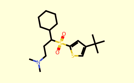 CN(C)CCC(C1CCCCC1)S(=O)(=O)c1cc(C(C)(C)C)cs1